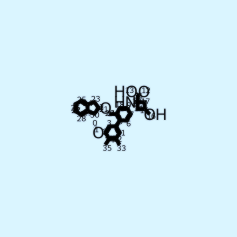 COc1cc(-c2ccc(NC3(C(=O)O)CC(O)C3)cc2COC2Cc3ccccc3C2)cc(C)c1C